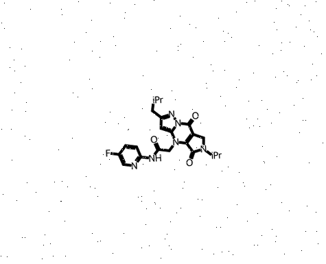 CC(C)Cc1cc2n(CC(=O)Nc3ccc(F)cn3)c3c(c(=O)n2n1)CN(C(C)C)C3=O